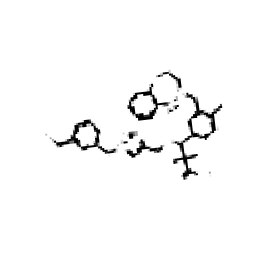 COC(=O)C(C)(C)C(OCc1cn(Cc2cccc(CN)c2)nn1)c1ccc(C)c(CN2C[C@@H](C)Oc3ccccc3S2(=O)=O)c1